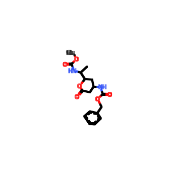 CC(NC(=O)OC(C)(C)C)C1CC(NC(=O)OCc2ccccc2)CC(=O)O1